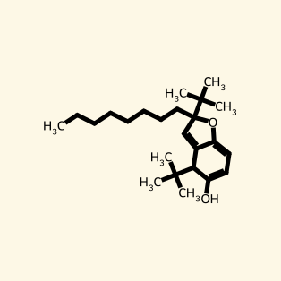 CCCCCCCCC1(C(C)(C)C)C=C2C(=CC=C(O)C2C(C)(C)C)O1